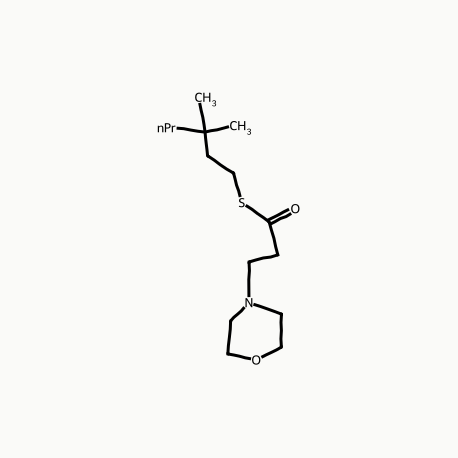 CCCC(C)(C)CCSC(=O)CCN1CCOCC1